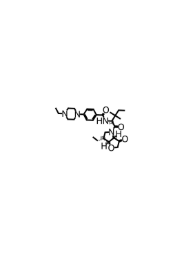 CC[C@@H]1CN(C(=O)[C@@H](NC(=O)c2ccc(N3CCN(CC)CC3)cc2)C(C)(C)CC)[C@@H]2C(=O)CO[C@H]12